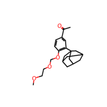 COCCOCOc1ccc(C(C)=O)cc1C12CC3CC(CC(C3)C1)C2